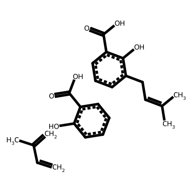 C=CC(=C)C.CC(C)=CCc1cccc(C(=O)O)c1O.O=C(O)c1ccccc1O